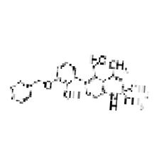 CC1=CC(C)(C)Nc2ccc(-c3cccc(OCc4ccccc4)c3O)c(CO)c21